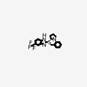 FC(F)(F)c1ccc2[nH]c(SCc3ccccc3N3CCCC3)nc2c1